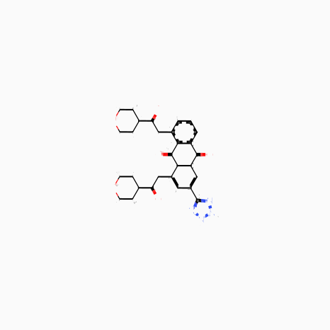 O=C(CC1=CC(c2nnn[nH]2)=CC2C(=O)c3cccc(CC(=O)C4CCOCC4)c3C(=O)C12)C1CCOCC1